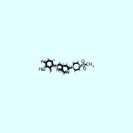 CS(=O)(=O)N1CCN(c2cc3cn(-c4ccc(F)c(O)c4F)nc3cn2)CC1